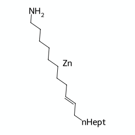 CCCCCCCCC=CCCCCCCCCN.[Zn]